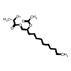 CCCCCCCCCCC(COC(=O)[C@H](C)O)OC(C)=O